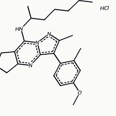 CCCCCC(C)Nc1c2c(nc3c(-c4ccc(OC)cc4C)c(C)nn13)CCC2.Cl